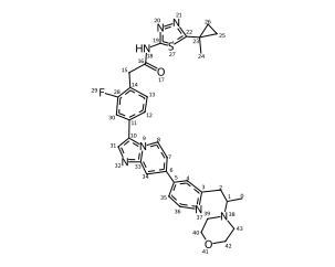 CC(Cc1cc(-c2ccn3c(-c4ccc(CC(=O)Nc5nnc(C6(C)CC6)s5)c(F)c4)cnc3c2)ccn1)N1CCOCC1